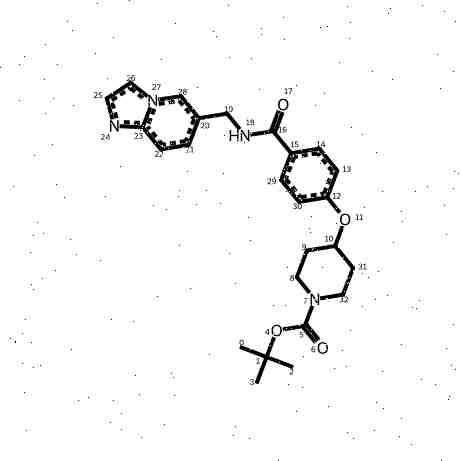 CC(C)(C)OC(=O)N1CCC(Oc2ccc(C(=O)NCc3ccc4nccn4c3)cc2)CC1